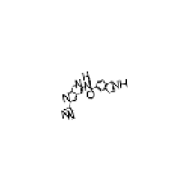 Cn1cc(-c2cc3cc(NC(=O)c4ccc5c(c4)CCNC5)ncc3cn2)cn1